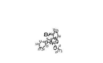 CC(C)(C)OC(=O)N[C@@H](Cc1ccccc1)c1ncccc1Br